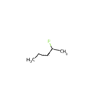 CC[CH]C(C)F